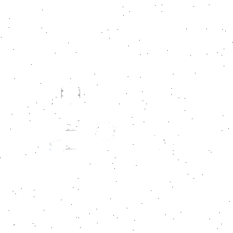 CC(F)(F)c1cc(F)ccc1-c1sc2c(ccc3[nH]ncc32)c1Oc1ccc(NCCN2CC3(CC(F)C3)C2)cc1